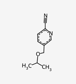 CC(C)OCc1ccc(C#N)nc1